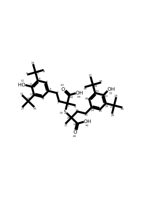 CC(CCc1cc(C(C)(C)C)c(O)c(C(C)(C)C)c1)(SC(C)(CCc1cc(C(C)(C)C)c(O)c(C(C)(C)C)c1)C(=O)O)C(=O)O